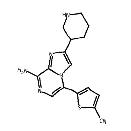 N#Cc1ccc(-c2cnc(N)c3nc(C4CCCNC4)cn23)s1